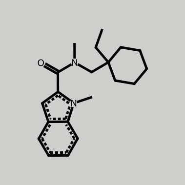 CCC1(CN(C)C(=O)c2cc3ccccc3n2C)CCCCC1